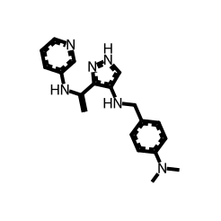 C=C(Nc1cccnc1)c1n[nH]cc1NCc1ccc(N(C)C)cc1